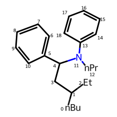 CCCCC(CC)CC(c1ccccc1)N(CCC)c1ccccc1